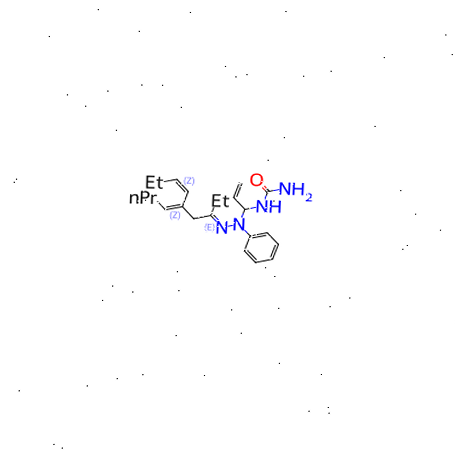 C=CC(NC(N)=O)N(/N=C(\CC)CC(/C=C\CC)=C/CCC)c1ccccc1